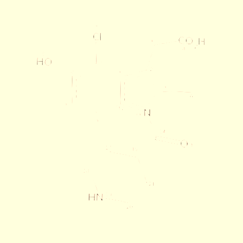 Cc1c(CC(=O)O)c2c(Cl)c(O)ccc2n1C(=O)C1CCNCC1